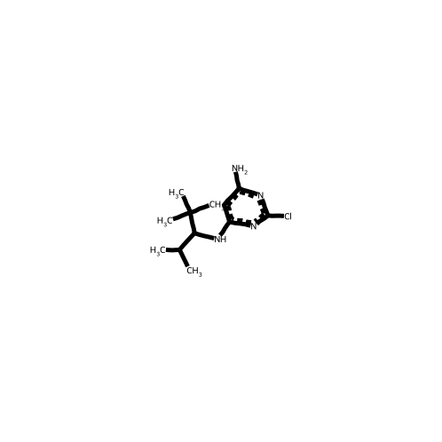 CC(C)C(Nc1cc(N)nc(Cl)n1)C(C)(C)C